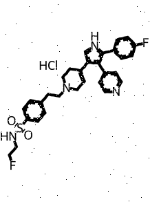 Cl.O=S(=O)(NCCF)c1ccc(CCN2CC=C(c3c[nH]c(-c4ccc(F)cc4)c3-c3ccncc3)CC2)cc1